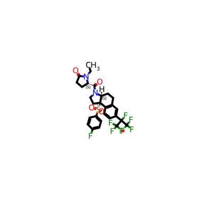 CCN1C(=O)CC[C@H]1C(=O)N1CC[C@]2(S(=O)(=O)c3ccc(F)cc3)c3ccc(C(F)(C(F)(F)F)C(F)(F)F)cc3CC[C@H]12